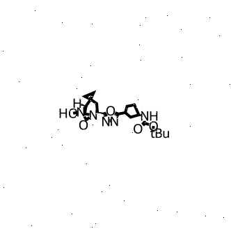 CC(C)(C)OC(=O)N[C@@H]1CCC(c2nnc([C@@H]3CC4(CC4)[C@@H]4CN3C(=O)N4O)o2)C1